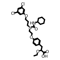 CCOC(Cc1ccc(OCCN(CCCOc2cc(Cl)cc(Cl)c2)C(=O)NC2CCCCC2)cc1)C(=O)O